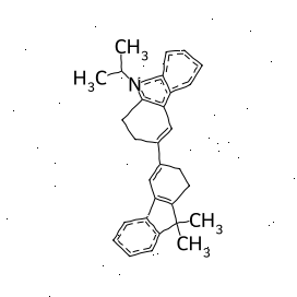 CC(C)n1c2c(c3ccccc31)C=C(C1=CC3=C(CC1)C(C)(C)c1ccccc13)CC2